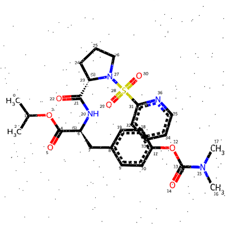 CC(C)OC(=O)[C@H](Cc1ccc(OC(=O)N(C)C)cc1)NC(=O)[C@@H]1CCCN1S(=O)(=O)c1ccccn1